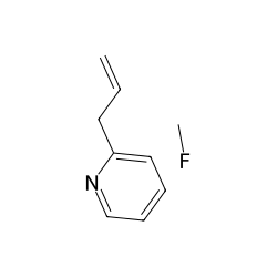 C=CCc1ccccn1.CF